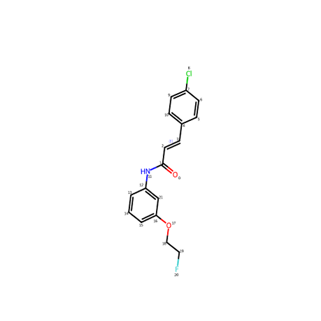 O=C(/C=C/c1ccc(Cl)cc1)Nc1cccc(OCCF)c1